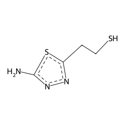 Nc1nnc(CCS)s1